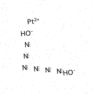 [N].[N].[N].[N].[N].[N].[OH-].[OH-].[Pt+2]